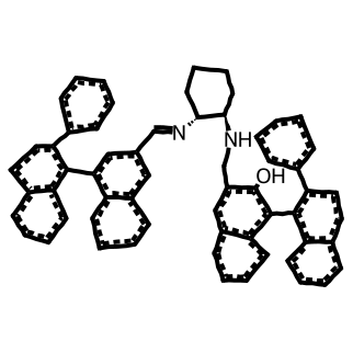 Oc1c(CN[C@@H]2CCCC[C@H]2/N=C/c2cc(-c3c(-c4ccccc4)ccc4ccccc34)c3ccccc3c2)cc2ccccc2c1-c1c(-c2ccccc2)ccc2ccccc12